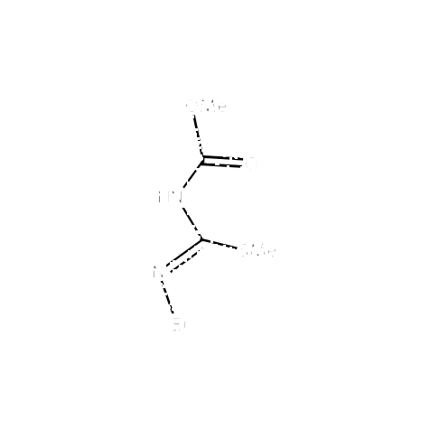 CC/N=C(/NC(=O)OC)SC